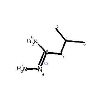 CC(C)C/C(N)=N/N